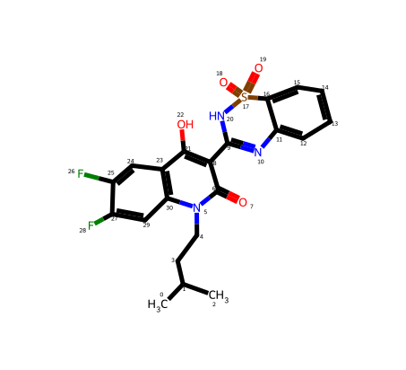 CC(C)CCn1c(=O)c(C2=Nc3ccccc3S(=O)(=O)N2)c(O)c2cc(F)c(F)cc21